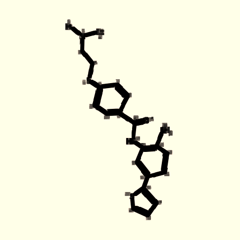 CCN(CC)CCSc1ccc(C(=O)Nc2cc(-c3cccs3)ccc2N)cc1